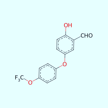 O=Cc1cc(Oc2ccc(OC(F)(F)F)cc2)ccc1O